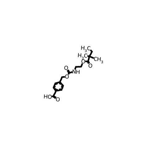 CCC(C)(C)C(=O)OCCNC(=O)OCc1ccc(C(=O)O)cc1